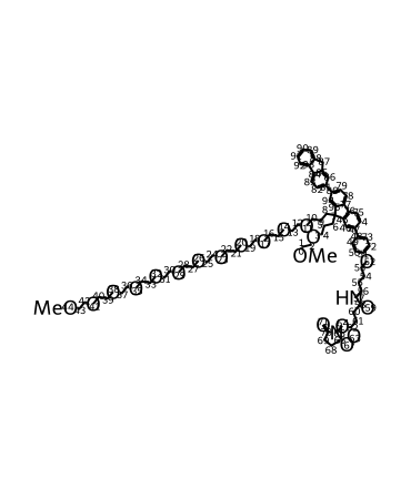 COCCOCCCC1(CCCOCCOCCOCCOCCOCCOCCOCCOCCOCCOCCOCCOC)c2cc(-c3ccc(OCCCCNC(=O)CCC(=O)ON4C(=O)CCC4=O)cc3)ccc2-c2ccc(-c3ccc4c(c3)Cc3ccccc3-4)cc21